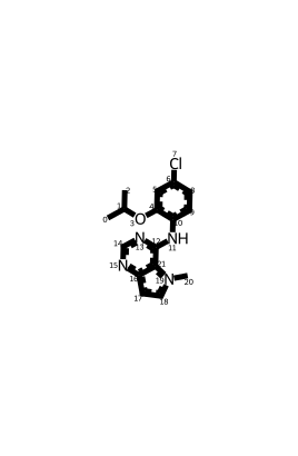 CC(C)Oc1cc(Cl)ccc1Nc1ncnc2ccn(C)c12